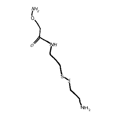 NCCSSCCNC(=O)CON